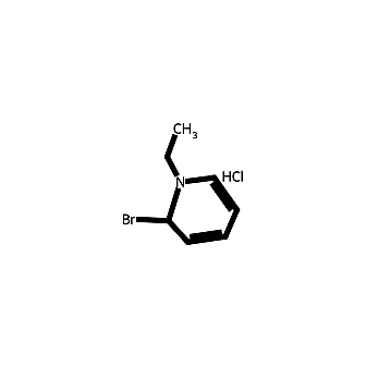 CCN1C=CC=CC1Br.Cl